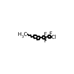 CCCCCc1ccc2cc(-c3cc(F)c(-c4ccc(Cl)c(F)c4)c(F)c3)ccc2c1